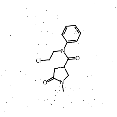 CN1CC(C(=O)N(CCCl)c2ccccc2)CC1=O